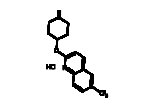 Cl.FC(F)(F)c1ccc2nc(OC3CCNCC3)ccc2c1